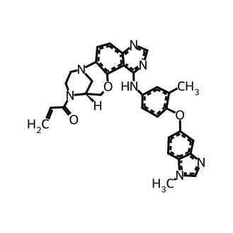 C=CC(=O)N1CCN2C[C@@H]1COc1c2ccc2ncnc(Nc3ccc(Oc4ccc5c(c4)ncn5C)c(C)c3)c12